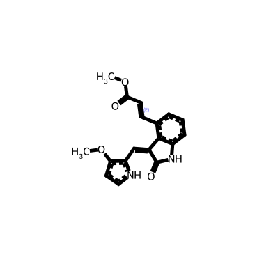 COC(=O)/C=C/c1cccc2c1C(=Cc1[nH]ccc1OC)C(=O)N2